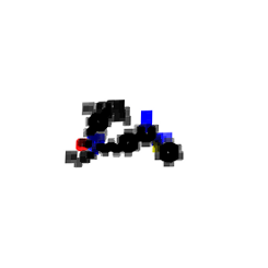 CCn1c(CCCc2ccc(C3=CC(NSc4ccccc4)=CNC3)cc2)nn(Cc2ccc(C(C)(C)C)cc2)c1=O